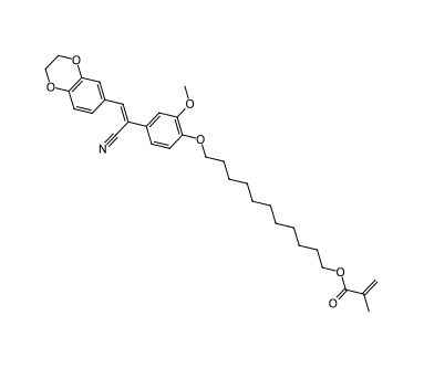 C=C(C)C(=O)OCCCCCCCCCCCOc1ccc(/C(C#N)=C/c2ccc3c(c2)OCCO3)cc1OC